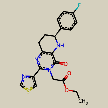 CCOC(=O)Cn1c(-c2cscn2)nc2c(c1=O)N[C@H](c1ccc(F)cc1)CC2